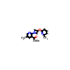 COC(=O)c1cc(C(F)(F)F)cnc1N1CC(OC2=NC(C(F)(F)F)CC=C2)C1